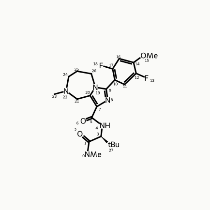 CNC(=O)[C@@H](NC(=O)c1nc(-c2cc(F)c(OC)cc2F)n2c1CN(C)CCC2)C(C)(C)C